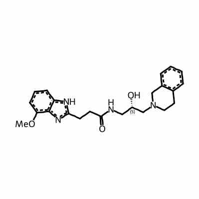 COc1cccc2[nH]c(CCC(=O)NC[C@H](O)CN3CCc4ccccc4C3)nc12